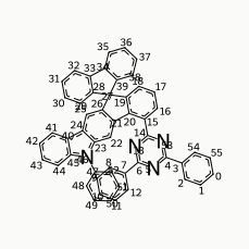 c1ccc(-c2nc(-c3ccccc3)nc(-c3cccc4c3-c3cc5c(cc3C43c4ccccc4-c4ccccc43)c3ccccc3n5-c3ccccc3)n2)cc1